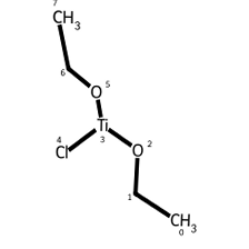 CC[O][Ti]([Cl])[O]CC